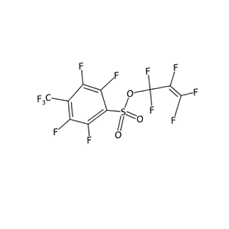 O=S(=O)(OC(F)(F)C(F)=C(F)F)c1c(F)c(F)c(C(F)(F)F)c(F)c1F